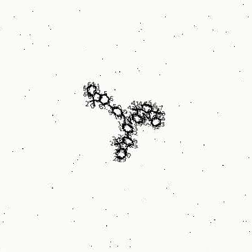 CC1(C)C2=C(CCC(c3ccc(N(c4ccc(-c5ccc6c(c5)C(C)(C)c5ccccc5-6)cc4)c4ccc5c(c4)C(C)(C)C4CC=CC6=C4N5c4ccccc4C6(C)C)cc3)=C2)c2ccccc21